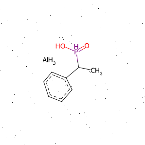 CC(c1ccccc1)[PH](=O)O.[AlH3]